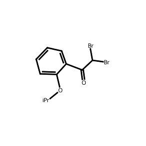 CC(C)Oc1ccccc1C(=O)C(Br)Br